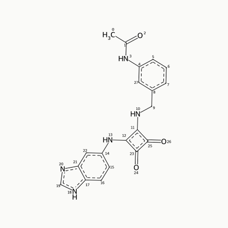 CC(=O)Nc1cccc(CNc2c(Nc3ccc4[nH]cnc4c3)c(=O)c2=O)c1